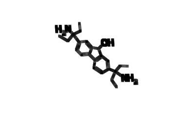 CCC(N)(CC)c1ccc2c(c1)C(O)c1cc(C(N)(CC)CC)ccc1-2